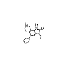 C/C=C1/C(=O)Nc2c1cc(-c1ccccc1)c1c2CN(C)CC1